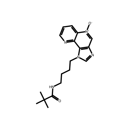 CC(C)(C)C(=O)NCCCCn1cnc2c[n+]([O-])c3cccnc3c21